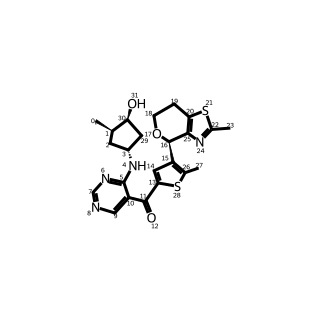 [CH2][C@@H]1C[C@@H](Nc2ncncc2C(=O)c2cc([C@H]3OCCc4sc(C)nc43)c(C)s2)C[C@@H]1O